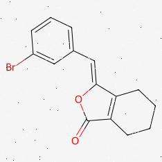 O=C1O/C(=C\c2cccc(Br)c2)C2=C1CCCC2